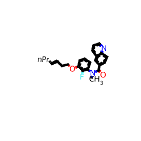 CCCC=CCCOc1cccc(N(C)C(=O)c2ccc3ncccc3c2)c1F